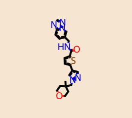 CC1(Cn2cc(-c3ccc(C(=O)NCc4ccc5ncnn5c4)s3)cn2)CCOCC1